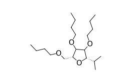 CCCCOC[C@H]1O[C@@H](C(C)C)C(OCCCC)C1OCCCC